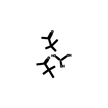 CC(=O)C(C)(C)C.CC(=O)C(C)(C)C.OB(O)O